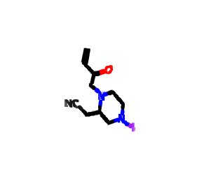 C=CC(=O)CN1CCN(I)CC1CC#N